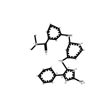 CN(C)C(=O)c1cccc(Nc2cc(Oc3sc(N)nc3-c3ccccc3)ccn2)c1